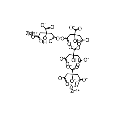 O=C([O-])CC(O)(CC(=O)[O-])C(=O)[O-].O=C([O-])CC(O)(CC(=O)[O-])C(=O)[O-].O=C([O-])CC(O)(CC(=O)[O-])C(=O)[O-].O=C([O-])CC([O-])(CC(=O)[O-])C(=O)[O-].[NH4+].[Zr+4].[Zr+4].[Zr+4]